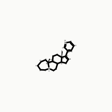 C[C@]12CCC3C(CCN4CCCCC[C@]34C)C1CC=C2c1cccnc1